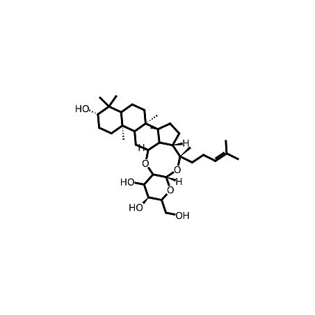 CC(C)=CCC[C@]1(C)O[C@@H]2OC(CO)[C@@H](O)C(O)C2O[C@@H]2CC3[C@@]4(C)CC[C@H](O)C(C)(C)C4CC[C@@]3(C)[C@]3(C)CC[C@H]1C23